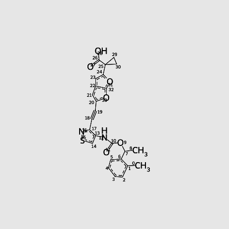 Cc1ccccc1C(C)OC(=O)Nc1csnc1C#Cc1cc2cc(C3(C(=O)O)CC3)oc2o1